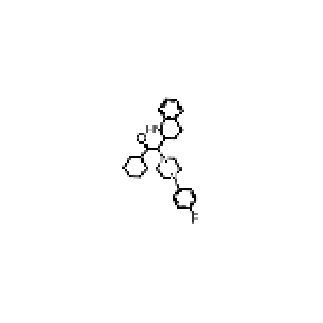 O=C(C1CCCCC1)C(C1CCc2ccccc2N1)N1CCN(c2ccc(F)cc2)CC1